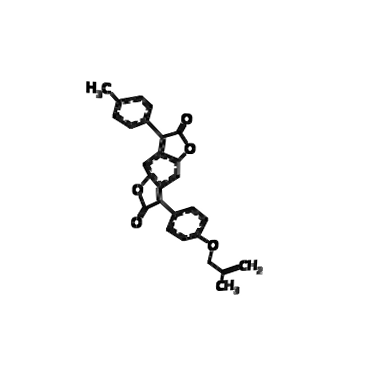 C=C(C)COc1ccc(C2=c3cc4c(cc3OC2=O)=C(c2ccc(C)cc2)C(=O)O4)cc1